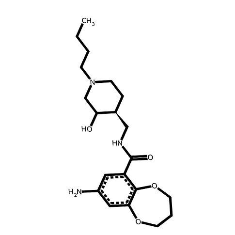 CCCCN1CC[C@@H](CNC(=O)c2cc(N)cc3c2OCCCO3)C(O)C1